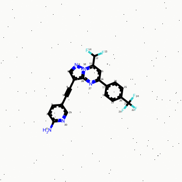 Nc1ccc(C#Cc2cnn3c(C(F)F)cc(-c4ccc(C(F)(F)F)cc4)nc23)cn1